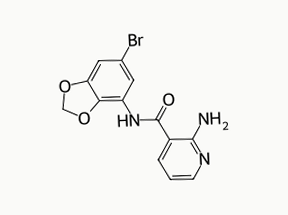 Nc1ncccc1C(=O)Nc1cc(Br)cc2c1OCO2